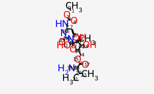 CCOC(=O)Nc1ccn([C@]2(O)O[C@H](COC(=O)[C@@H](N)C(C)C)[C@@H](O)[C@@]2(C)O)c(=O)n1